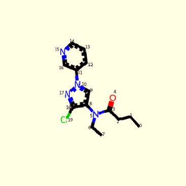 CCCC(=O)N(CC)c1cn(-c2cccnc2)nc1Cl